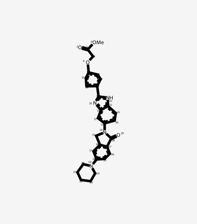 COC(=O)COc1ccc(-c2nc3cc(N4Cc5cc(N6CCCCC6)ccc5C4=O)ccc3[nH]2)cc1